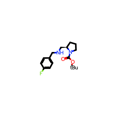 CC(C)(C)OC(=O)N1CCC[C@@H]1CNCc1ccc(F)cc1